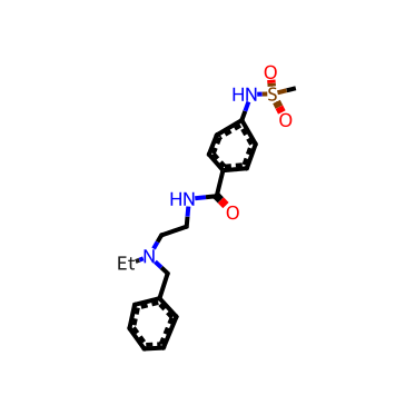 CCN(CCNC(=O)c1ccc(NS(C)(=O)=O)cc1)Cc1ccccc1